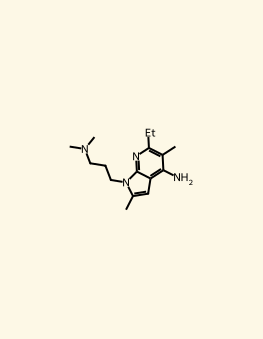 CCc1nc2c(cc(C)n2CCCN(C)C)c(N)c1C